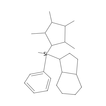 CC1C(C)C(C)C([Si](C)(c2ccccc2)C2CCC3CCCCC32)C1C